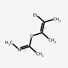 CC/C(C)=C(/C)O/C(C)=N\C